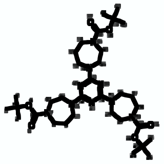 CC(C)(C)OC(=O)N1CCCN(c2nc(N3CCCN(C(=O)OC(C)(C)C)CC3)nc(N3CCCN(C(=O)OC(C)(C)C)CC3)n2)CC1